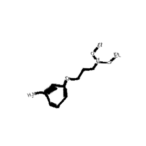 CCO[SiH](CCCOc1cccc(N)c1)OCC